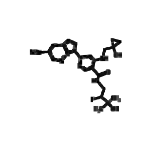 CC(C)(O)C(F)CNC(=O)c1cnc(-c2ccc3cc(C#N)cnn23)cc1NCC1(O)CC1